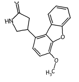 COc1ccc(C2CNC(=O)C2)c2c1oc1ccccc12